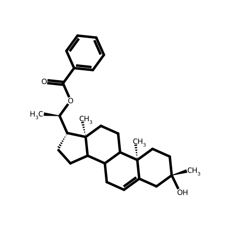 C[C@@H](OC(=O)c1ccccc1)[C@H]1CCC2C3CC=C4C[C@@](C)(O)CC[C@]4(C)C3CC[C@@]21C